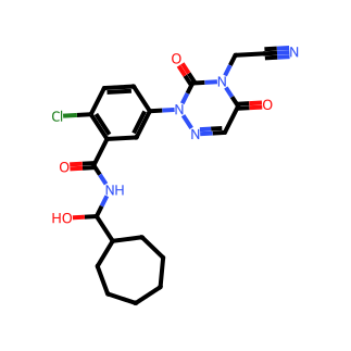 N#CCn1c(=O)cnn(-c2ccc(Cl)c(C(=O)NC(O)C3CCCCCC3)c2)c1=O